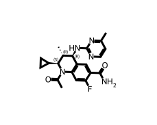 CC(=O)N1c2cc(F)c(C(N)=O)cc2[C@H](Nc2nccc(C)n2)[C@@H](C)[C@@H]1C1CC1